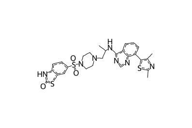 Cc1nc(C)c(-c2cccc3c(NC(C)CN4CCN(S(=O)(=O)c5ccc6[nH]c(=O)sc6c5)CC4)ncnc23)s1